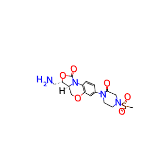 CS(=O)(=O)N1CCN(c2ccc3c(c2)OC[C@H]2[C@H](CN)OC(=O)N32)C(=O)C1